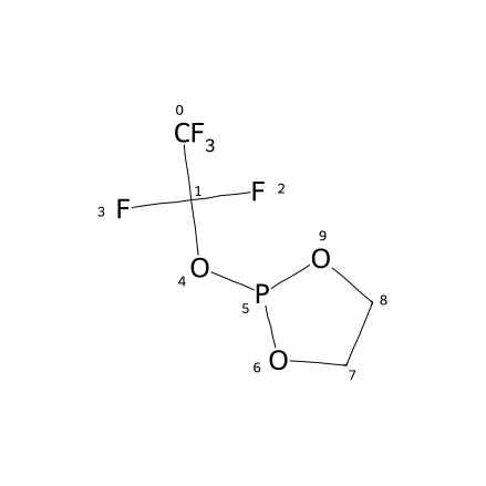 FC(F)(F)C(F)(F)OP1OCCO1